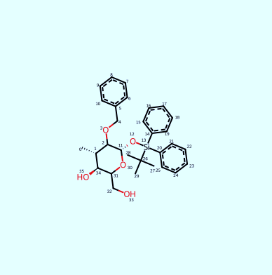 C[C@@H]1C(OCc2ccccc2)[C@H](O[Si](c2ccccc2)(c2ccccc2)C(C)(C)C)OC(CO)[C@H]1O